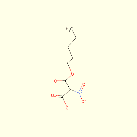 CCCCCOC(=O)C(C(=O)O)[N+](=O)[O-]